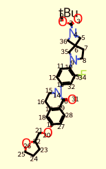 CC(C)(C)OC(=O)N1CC2(CCN(c3ccc(N4CCc5cc(OCC6CCCO6)ccc5C4=O)cc3F)C2)C1